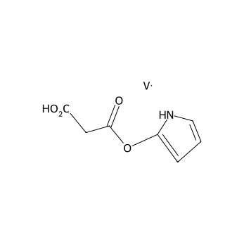 O=C(O)CC(=O)Oc1ccc[nH]1.[V]